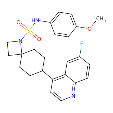 COc1ccc(NS(=O)(=O)N2CCC23CCC(c2ccnc4ccc(F)cc24)CC3)cc1